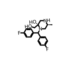 C[C@H]1CN(C(c2ccc(F)cc2)c2ccc(F)cc2)[C@@](O)(CO)CN1